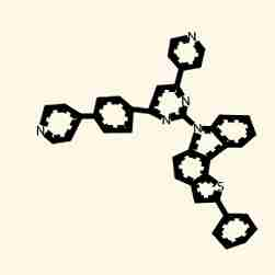 c1ccc(-c2cc3ccc4c(c5ccccc5n4-c4nc(-c5ccncc5)cc(-c5ccc(-c6ccncc6)cc5)n4)c3s2)cc1